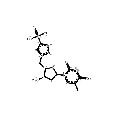 CO[C@@H]1C[C@H](n2cc(C)c(=O)[nH]c2=O)O[C@@H]1Cn1cc(P(=O)(O)O)nn1